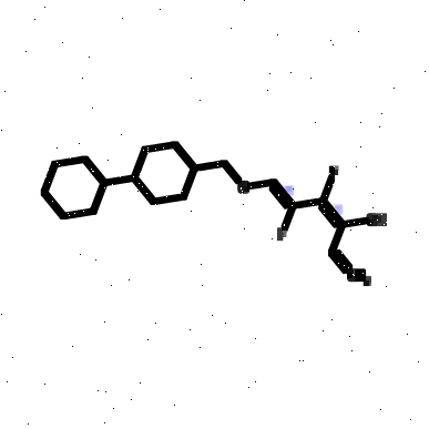 C=C/C(O)=C(F)\C(F)=C\OCC1CCC(C2CCCCC2)CC1